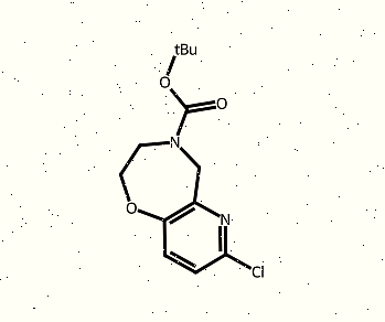 CC(C)(C)OC(=O)N1CCOc2ccc(Cl)nc2C1